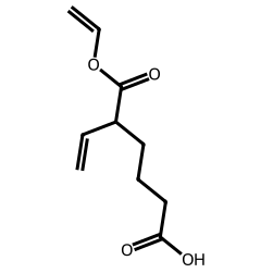 C=COC(=O)C(C=C)CCCC(=O)O